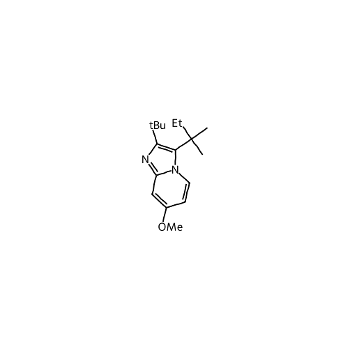 CCC(C)(C)c1c(C(C)(C)C)nc2cc(OC)ccn12